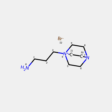 NCCC[N+]12CCN(CC1)CC2.[Br-]